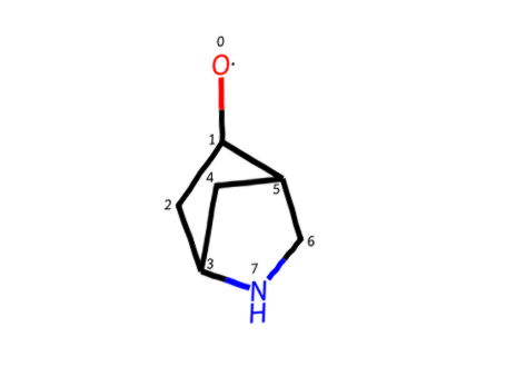 [O]C1CC2CC1CN2